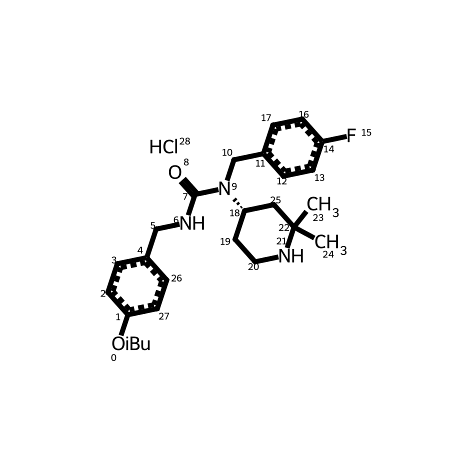 CC(C)COc1ccc(CNC(=O)N(Cc2ccc(F)cc2)[C@H]2CCNC(C)(C)C2)cc1.Cl